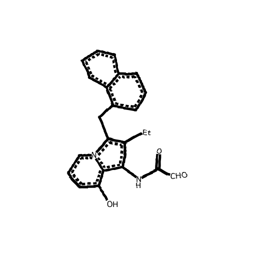 CCc1c(NC(=O)C=O)c2c(O)cccn2c1Cc1cccc2ccccc12